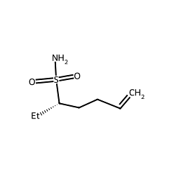 C=CCC[C@H](CC)S(N)(=O)=O